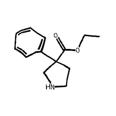 CCOC(=O)C1(c2ccccc2)CCNC1